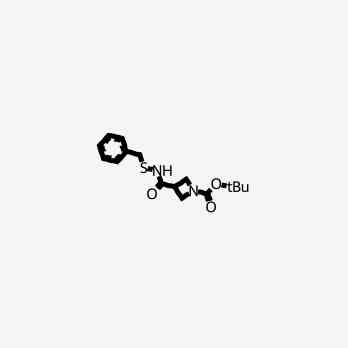 CC(C)(C)OC(=O)N1CC(C(=O)NSCc2ccccc2)C1